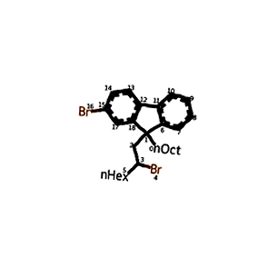 CCCCCCCCC1(CC(Br)CCCCCC)c2ccccc2-c2ccc(Br)cc21